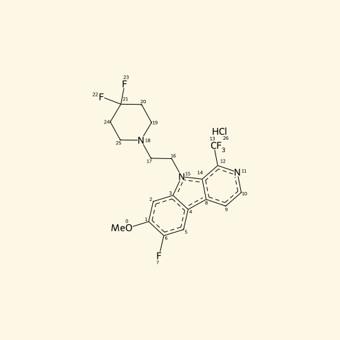 COc1cc2c(cc1F)c1ccnc(C(F)(F)F)c1n2CCN1CCC(F)(F)CC1.Cl